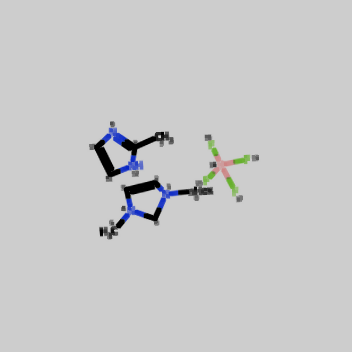 CCCCCCN1C=CN(C)C1.Cc1ncc[nH]1.F[B-](F)(F)F